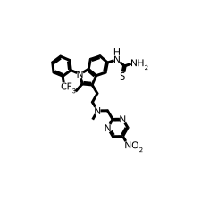 Cc1c(CCN(C)Cc2ncc([N+](=O)[O-])cn2)c2cc(NC(N)=S)ccc2n1-c1ccccc1C(F)(F)F